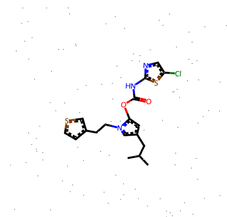 CC(C)Cc1cc(OC(=O)Nc2ncc(Cl)s2)n(CCc2ccsc2)c1